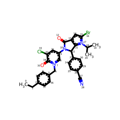 CCc1ccc(Cn2cc(N3C(=O)c4cc(Br)n(C(C)C)c4C3c3ccc(C#N)cc3)cc(Cl)c2=O)cc1